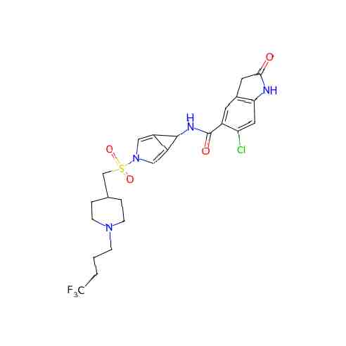 O=C1Cc2cc(C(=O)NC3c4cn(S(=O)(=O)CC5CCN(CCCC(F)(F)F)CC5)cc43)c(Cl)cc2N1